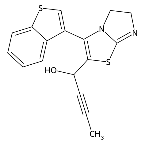 CC#CC(O)C1=C(c2csc3ccccc23)N2CCN=C2S1